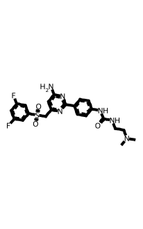 CN(C)CCNC(=O)Nc1ccc(-c2nc(N)cc(CS(=O)(=O)c3cc(F)cc(F)c3)n2)cc1